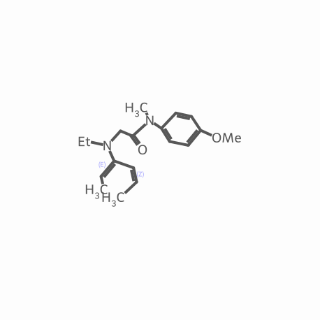 C/C=C\C(=C/C)N(CC)CC(=O)N(C)c1ccc(OC)cc1